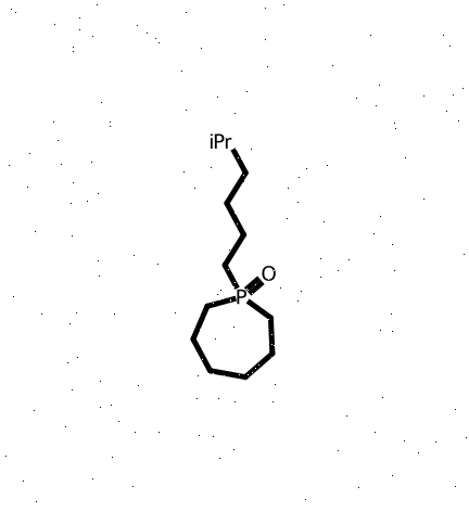 CC(C)CCCCP1(=O)CCCCCC1